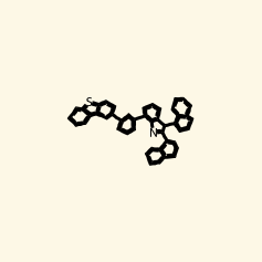 c1cc(-c2ccc3sc4ccccc4c3c2)cc(-c2cccc3c2N=C(c2cccc4ccccc24)C3c2cccc3ccccc23)c1